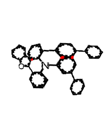 c1ccc(-c2ccc(-c3ccccc3N(c3cccc(-c4ccccc4)c3)c3ccccc3-c3cc4ccccc4o3)cc2)cc1